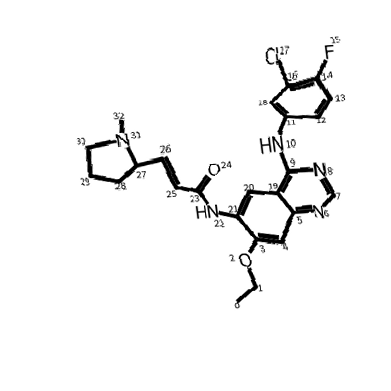 CCOc1cc2ncnc(Nc3ccc(F)c(Cl)c3)c2cc1NC(=O)/C=C/C1CCCN1C